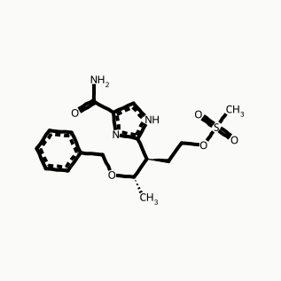 C[C@H](OCc1ccccc1)[C@H](CCOS(C)(=O)=O)c1nc(C(N)=O)c[nH]1